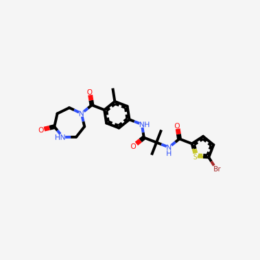 Cc1cc(NC(=O)C(C)(C)NC(=O)c2ccc(Br)s2)ccc1C(=O)N1CCNC(=O)CC1